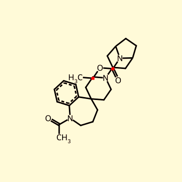 CCOC(=O)N1C2CCC1CC(N1CCC3(CCCN(C(C)=O)c4ccccc43)CC1)C2